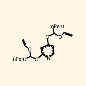 C=COC(CCCCC)Oc1ccnc(OC(CCCCC)OC=C)c1